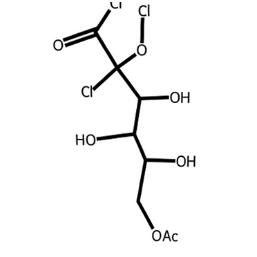 CC(=O)OCC(O)C(O)C(O)C(Cl)(OCl)C(=O)Cl